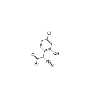 N#[N+]C(C(=O)[O-])c1ccc(Cl)cc1O